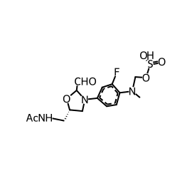 CC(=O)NC[C@H]1CN(c2ccc(N(C)CO[SH](=O)=O)c(F)c2)C(C=O)O1